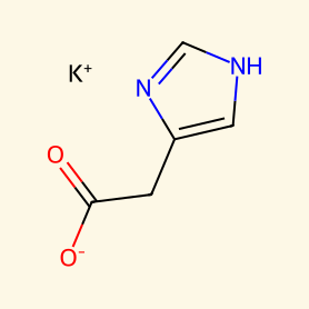 O=C([O-])Cc1c[nH]cn1.[K+]